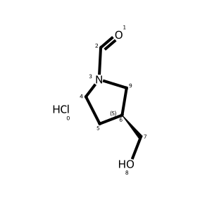 Cl.O=CN1CC[C@H](CO)C1